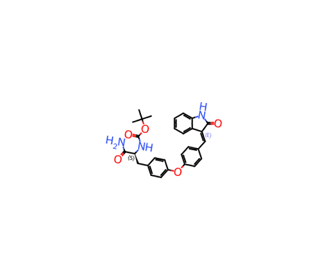 CC(C)(C)OC(=O)N[C@@H](Cc1ccc(Oc2ccc(/C=C3/C(=O)Nc4ccccc43)cc2)cc1)C(N)=O